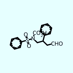 O=CCC(CN(C(=O)O)S(=O)(=O)c1ccccc1)c1ccccc1